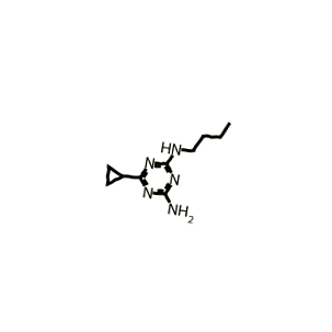 CCCCNc1nc(N)nc(C2CC2)n1